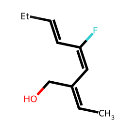 C\C=C(/C=C(F)\C=C\CC)CO